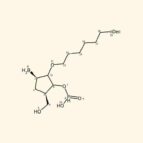 B[C@@H]1C[C@H](CO)C(O[PH](=O)O)C1OCCCCCCCCCCCCCCCC